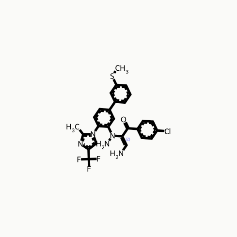 CSc1cccc(-c2ccc(-n3cc(C(F)(F)F)nc3C)c(N(N)/C(=C\N)C(=O)c3ccc(Cl)cc3)c2)c1